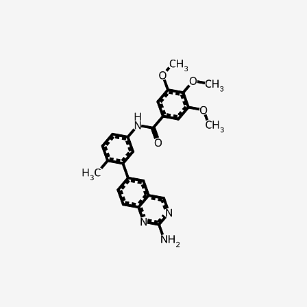 COc1cc(C(=O)Nc2ccc(C)c(-c3ccc4nc(N)ncc4c3)c2)cc(OC)c1OC